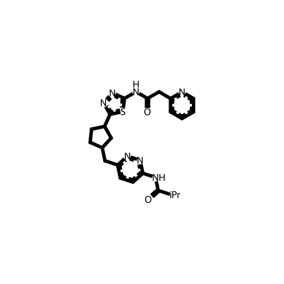 CC(C)C(=O)Nc1ccc(CC2CCC(c3nnc(NC(=O)Cc4ccccn4)s3)C2)nn1